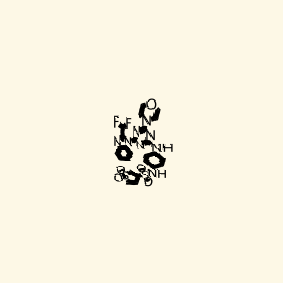 O=S1(=O)CCC(S(=O)(=O)N[C@H]2CC[C@H](Nc3nc(N4CCOCC4)nc(-n4c(C(F)F)nc5ccccc54)n3)CC2)C1